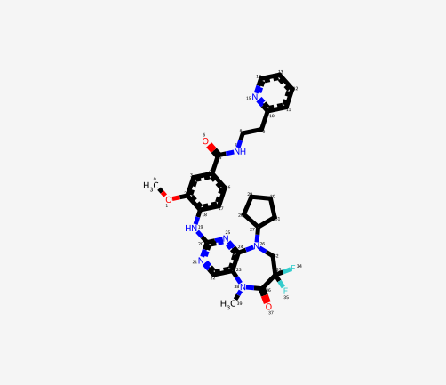 COc1cc(C(=O)NCCc2ccccn2)ccc1Nc1ncc2c(n1)N(C1CCCC1)CC(F)(F)C(=O)N2C